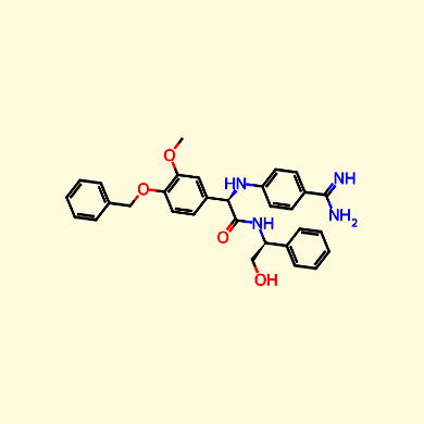 COc1cc([C@@H](Nc2ccc(C(=N)N)cc2)C(=O)N[C@H](CO)c2ccccc2)ccc1OCc1ccccc1